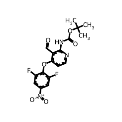 CC(C)(C)OC(=O)Nc1nccc(Oc2c(F)cc([N+](=O)[O-])cc2F)c1C=O